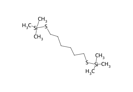 C[Si](C)(C)SCCCCCCS[Si](C)(C)C